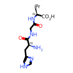 CC(C)[C@H](NC(=O)CNC(=O)[C@@H](N)Cc1c[nH]cn1)C(=O)O